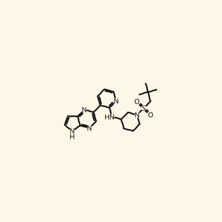 CC(C)(C)CS(=O)(=O)N1CCCC(Nc2ncccc2-c2cnc3[nH]ccc3n2)C1